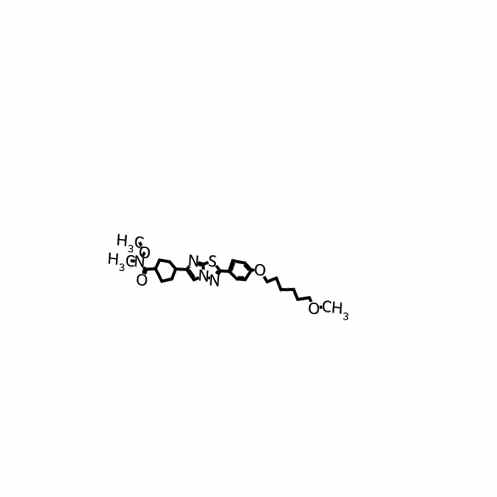 COCCCCCCOc1ccc(-c2nn3cc(C4CCC(C(=O)N(C)OC)CC4)nc3s2)cc1